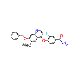 COc1cc2c(Oc3ccc(C(N)=O)cc3F)ccnc2cc1OCc1ccccc1